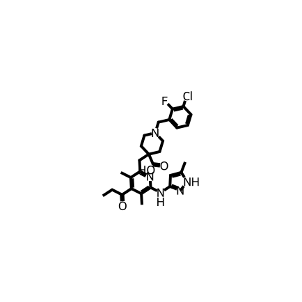 CCC(=O)c1c(C)c(CC2(C(=O)O)CCN(Cc3cccc(Cl)c3F)CC2)nc(Nc2cc(C)[nH]n2)c1C